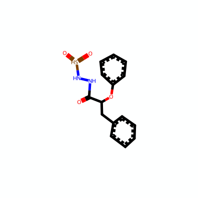 O=C(NN[SH](=O)=O)C(Cc1ccccc1)Oc1ccccc1